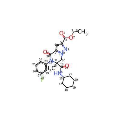 CCOC(=O)c1cc2n(n1)CC(C)(C(=O)NC1CCCCC1)N(c1cccc(F)c1)C2=O